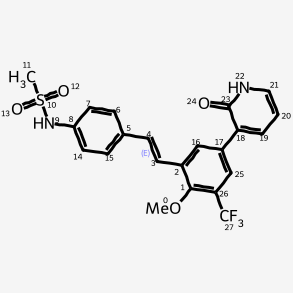 COc1c(/C=C/c2ccc(NS(C)(=O)=O)cc2)cc(-c2ccc[nH]c2=O)cc1C(F)(F)F